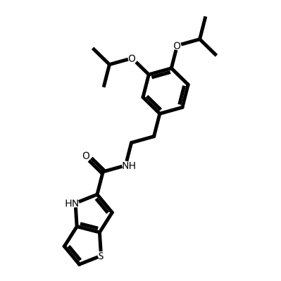 CC(C)Oc1ccc(CCNC(=O)c2cc3sccc3[nH]2)cc1OC(C)C